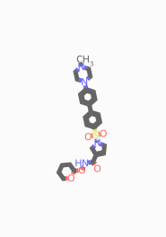 CN1CCN(c2ccc(-c3ccc(S(=O)(=O)N4CC=C(C(=O)NOC5CCCCO5)C4)cc3)cc2)CC1